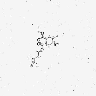 CCOC(=O)c1cc(C)c(Cl)cc1C(=O)OCCCC(C)C